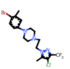 Cc1cc(N2CCN(CCn3nc(C(F)(F)F)c(Cl)c3C)CC2)ccc1Br